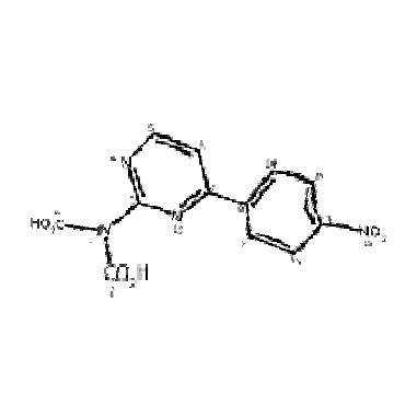 O=C(O)N(C(=O)O)c1nccc(-c2ccc([N+](=O)[O-])cc2)n1